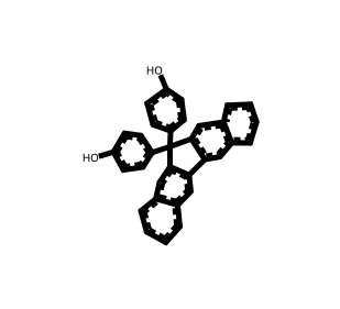 Oc1ccc(C2(c3ccc(O)cc3)c3cc4ccccc4cc3-c3cc4ccccc4cc32)cc1